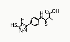 CC(C(=O)O)C(=S)Nc1ccc(-c2nnc(S)[nH]2)cc1